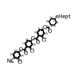 CCCCCCC[C@H]1CC[C@H](C(=O)Oc2ccc(C(=O)Oc3ccc(C(=O)Oc4ccc(C#N)c(Cl)c4)c(Cl)c3)c(Cl)c2)CC1